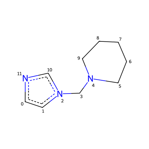 c1cn(CN2CCCCC2)cn1